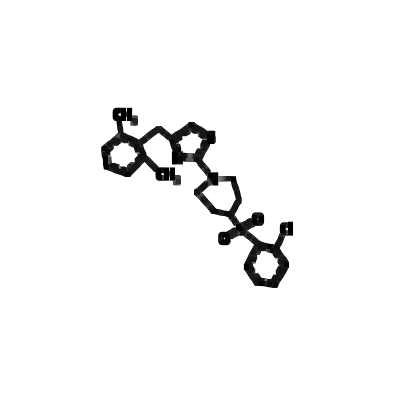 Cc1cccc(C)c1Cc1csc(N2CCC(S(=O)(=O)c3ccccc3Cl)CC2)n1